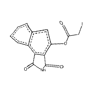 O=C(CI)Oc1cc2ccccc2c2c1C(=O)NC2=O